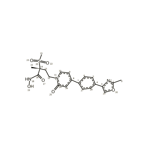 Cc1nc(-c2ccc(-c3ccn(CC[C@](C)(C(=O)NO)S(C)(=O)=O)c(=O)c3)cc2)co1